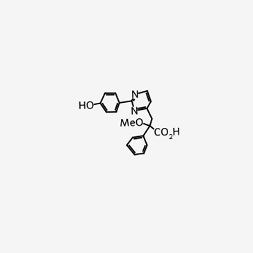 COC(Cc1ccnc(-c2ccc(O)cc2)n1)(C(=O)O)c1ccccc1